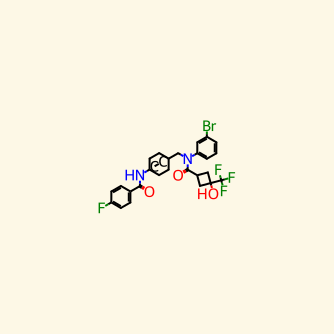 O=C(NC12CCC(CN(C(=O)C3CC(O)(C(F)(F)F)C3)c3cccc(Br)c3)(CC1)CC2)c1ccc(F)cc1